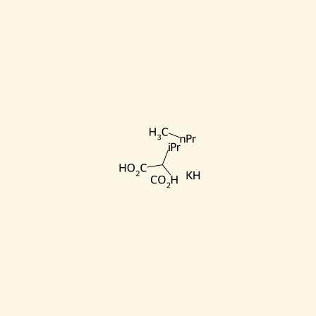 CC(C)C(C(=O)O)C(=O)O.CCCC.[KH]